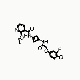 CCOc1ncccc1C(=O)NC12CC(NC(=O)COc3ccc(Cl)c(F)c3)(C1)C2